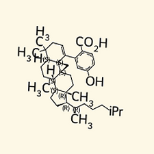 CC(C)CCC[C@@H](C)[C@H]1CC[C@@]2(C)[C@@H]3CC[C@H]4C(C)(C)CC=C(c5cc(O)ccc5C(=O)O)[C@@]45C[C@@]35CC[C@]12C